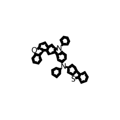 c1ccc(N(c2ccc3c(c2)sc2ccccc23)c2ccc3c(c2)c2cc4c(ccc5oc6ccccc6c54)cc2n3-c2ccccc2)cc1